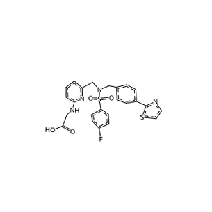 O=C(O)CNc1cccc(CN(Cc2ccc(-c3nccs3)cc2)S(=O)(=O)c2ccc(F)cc2)n1